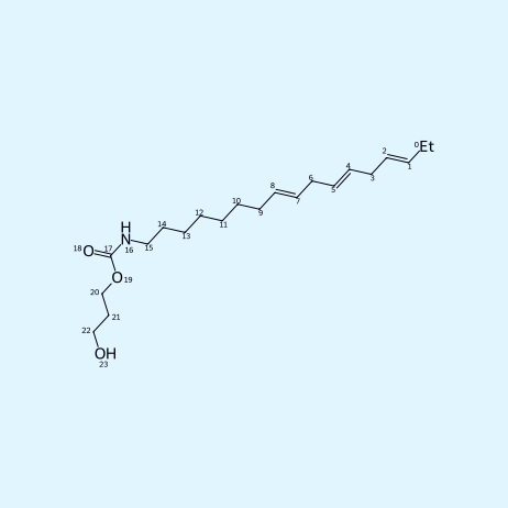 CCC=CCC=CCC=CCCCCCCCNC(=O)OCCCO